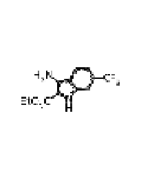 CCOC(=O)c1[nH]c2cc(C(F)(F)F)ccc2c1N